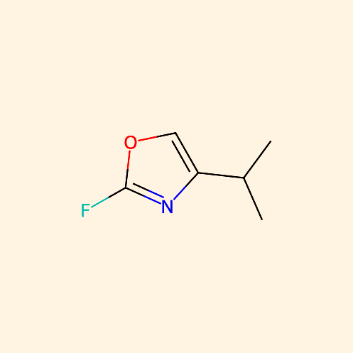 CC(C)c1coc(F)n1